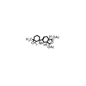 CC(=O)O[C@H]1O[C@@H](OC(C)=O)[C@@H]2CC=C([C@]3(N)CCCC(C)(C)C3)C[C@H]12